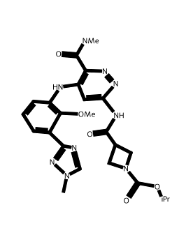 CNC(=O)c1nnc(NC(=O)C2CN(C(=O)OC(C)C)C2)cc1Nc1cccc(-c2ncn(C)n2)c1OC